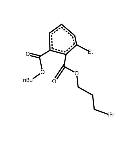 CCCCOC(=O)c1cccc(CC)c1C(=O)OCCCC(C)C